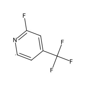 Fc1cc(C(F)(F)F)c[c]n1